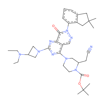 CCN(CC)C1CN(c2nc(N3CCN(C(=O)OC(C)(C)C)C(CC#N)C3)c3cnn(-c4cccc5c4CC(C)(C)C5)c(=O)c3n2)C1